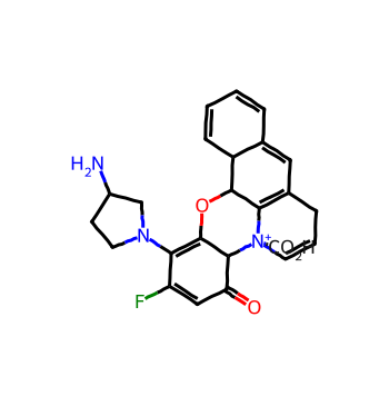 NC1CCN(C2=C3OC4C5=C(C=C6C=CC=CC64)CC=C[N+]5(C(=O)O)C3C(=O)C=C2F)C1